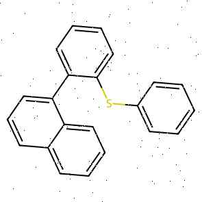 c1ccc(Sc2ccccc2-c2cccc3ccccc23)cc1